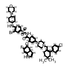 CC1(C)CCC(CN2CCN(c3ccc(C(=O)NS(=O)(=O)c4cnc(N[C@H]5CC[C@H](N6CCOCC6)CC5)c(Br)c4)c(Oc4cc5cc[nH]c5cc4F)c3)CC2)=C(c2ccc(Cl)cc2)C1